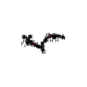 Cc1ncsc1-c1ccc([C@H](C)NC(=O)[C@@H]2CCCN2C(=O)[C@@H](NC(=O)CCCC(=O)N2CCN(CCN(C)CC3(C)CCC(c4ccc(Cl)cc4)=C(CN4CCN(c5ccc(C(=O)NS(=O)(=O)c6ccc(N[C@H](CCN7CCOCC7)CSc7ccccc7)c(S(=O)(=O)C(F)(F)F)c6)cc5)CC4)C3)CC2)C(C)(C)C)cc1